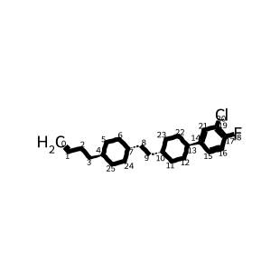 C=CCC[C@H]1CC[C@H](CC[C@H]2CC[C@H](c3ccc(F)c(Cl)c3)CC2)CC1